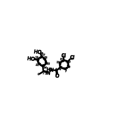 CC(=NNC(=O)c1ccc(Cl)c(Cl)c1)c1ccc(O)c(O)c1